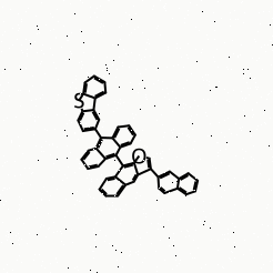 c1ccc2cc(-c3coc4c(-c5c6ccccc6c(-c6ccc7sc8ccccc8c7c6)c6ccccc56)c5ccccc5cc34)ccc2c1